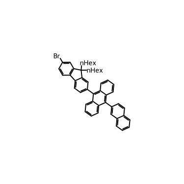 CCCCCCC1(CCCCCC)c2cc(Br)ccc2-c2ccc(-c3c4ccccc4c(-c4ccc5ccccc5c4)c4ccccc34)cc21